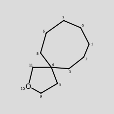 C1CCCC2(CCC1)CCOC2